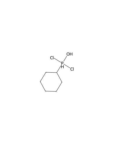 O[PH](Cl)(Cl)C1CCCCC1